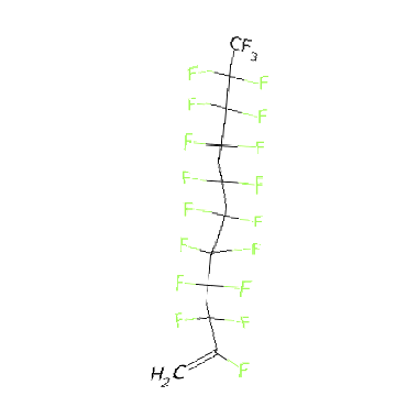 C=C(F)C(F)(F)C(F)(F)C(F)(F)C(F)(F)C(F)(F)C(F)(F)C(F)(F)C(F)(F)C(F)(F)F